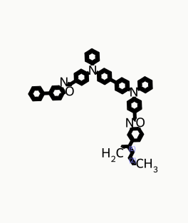 C=C/C(=C\C=C/C)C1=CC2N=C(c3ccc(N(c4ccccc4)c4ccc(-c5ccc(N(c6ccccc6)c6ccc(-c7nc8cc(-c9ccccc9)ccc8o7)cc6)cc5)cc4)cc3)OC2C=C1